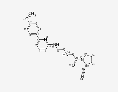 COc1ccc(-c2cccc(NCCNCC(=O)N3CCCC3C#N)n2)cc1